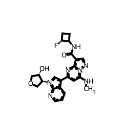 CNc1cc(-c2cn([C@H]3COC[C@@H]3O)c3ncccc23)nc2c(C(=O)NC3CC[C@@H]3F)cnn12